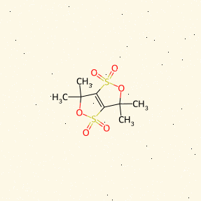 CC1(C)OS(=O)(=O)C2=C1S(=O)(=O)OC2(C)C